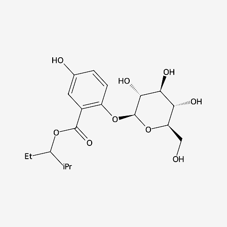 CCC(OC(=O)c1cc(O)ccc1O[C@@H]1O[C@H](CO)[C@@H](O)[C@H](O)[C@H]1O)C(C)C